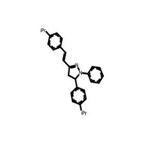 CC(C)c1ccc(C=CC2=NN(c3ccccc3)C(c3ccc(C(C)C)cc3)C2)cc1